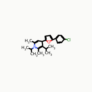 CC1=CC(c2ccc(-c3ccc(Cl)cc3)o2)C(C(C)C)=C(C)N1C(C)C